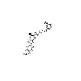 CC(=O)c1cccc(OCCCCOc2cc3nn([C@H]4CC[C@H](CO)CC4)cc3cc2Br)n1